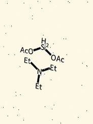 CC(=O)O[SiH2]OC(C)=O.CCN(CC)CC